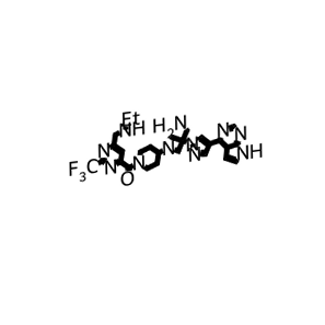 CCNCc1cc(C(=O)N2CCC(N3CC(CN)(n4cc(C5N=CN=C6NC=CC65)cn4)C3)CC2)nc(C(F)(F)F)n1